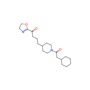 O=C(CCCC1CCN(C(=O)CC2CCCCC2)CC1)C1=NCCO1